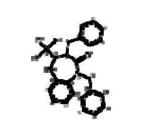 O=C1C(Cc2ccccc2)C(C(F)(F)F)Nc2ccccc2N1Cc1ccccc1